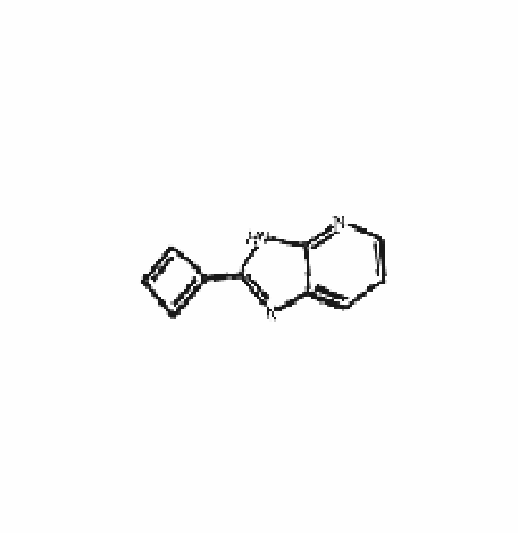 C1=CC(c2nc3cccnc3[nH]2)=C1